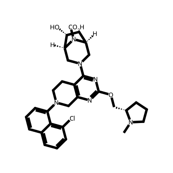 CN1CCC[C@H]1COc1nc2c(c(N3C[C@@H]4C[C@@H](O)[C@H](C3)N4C(=O)O)n1)CCN(c1cccc3cccc(Cl)c13)C2